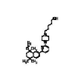 COC1(C)CCC(C)(C)c2ccc(-c3cccc(N4CCN(CCCCCO)CC4)n3)cc21